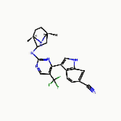 N#Cc1ccc2c(-c3nc(NC4C[C@H]5CC[C@@H]4N5)ncc3C(F)(F)F)c[nH]c2c1